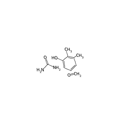 C=O.Cc1cccc(O)c1C.NC(N)=O